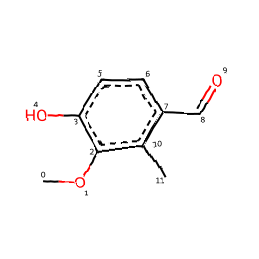 COc1c(O)ccc(C=O)c1C